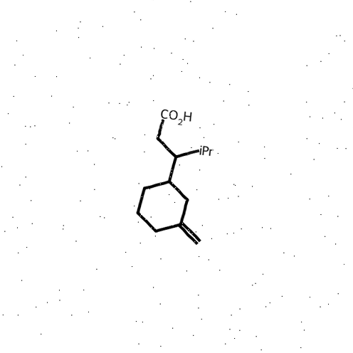 C=C1CCCC(C(CC(=O)O)C(C)C)C1